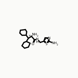 Nc1ncc(CNC(=O)[C@H](N)C(C2CCCCC2)C2CCCCC2)s1